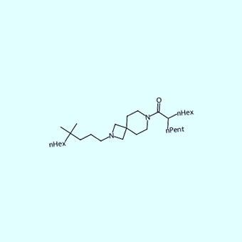 CCCCCCC(CCCCC)C(=O)N1CCC2(CC1)CN(CCCC(C)(C)CCCCCC)C2